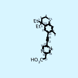 CCC1(CC)CCSc2cc(C)c(C#Cc3cnc(CC(=O)O)cn3)cc21